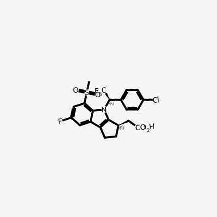 CS(=O)(=O)c1cc(F)cc2c3c(n([C@H](c4ccc(Cl)cc4)C(F)(F)F)c12)[C@@H](CC(=O)O)CC3